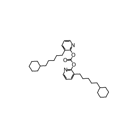 O=C(Oc1ncccc1CCCCCC1CCCCC1)Oc1ncccc1CCCCCC1CCCCC1